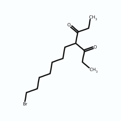 CCC(=O)C(CCCCCCCBr)C(=O)CC